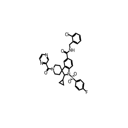 O=C(NCc1ccccc1Cl)c1ccc2c(c1)C1(CCN(C(=O)c3cnccn3)CC1)C(C1CC1)N2S(=O)(=O)c1ccc(F)cc1